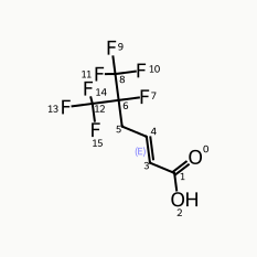 O=C(O)/C=C/CC(F)(C(F)(F)F)C(F)(F)F